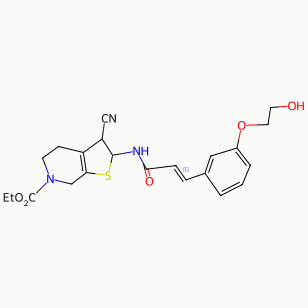 CCOC(=O)N1CCC2=C(C1)SC(NC(=O)/C=C/c1cccc(OCCO)c1)C2C#N